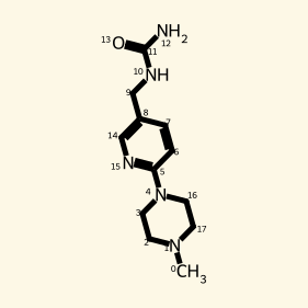 CN1CCN(c2ccc(CNC(N)=O)cn2)CC1